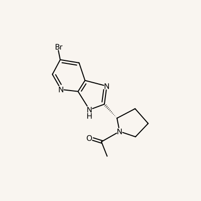 CC(=O)N1CCC[C@H]1c1nc2cc(Br)cnc2[nH]1